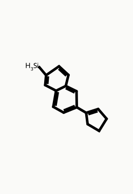 [SiH3]c1ccc2cc(C3=CCCC3)ccc2c1